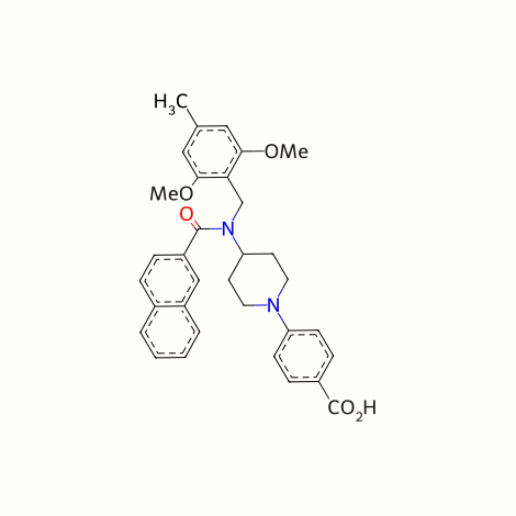 COc1cc(C)cc(OC)c1CN(C(=O)c1ccc2ccccc2c1)C1CCN(c2ccc(C(=O)O)cc2)CC1